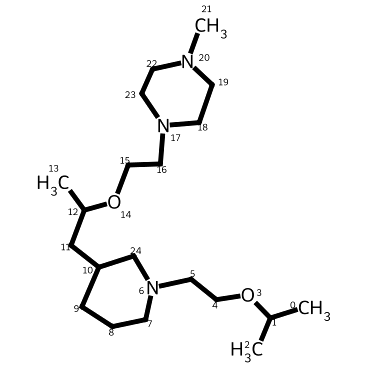 CC(C)OCCN1CCCC(CC(C)OCCN2CCN(C)CC2)C1